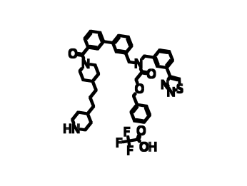 O=C(COCc1ccccc1)N(Cc1cccc(-c2cccc(C(=O)N3CCC(CCCC4CCNCC4)CC3)c2)c1)Cc1cccc(-c2csnn2)c1.O=C(O)C(F)(F)F